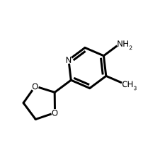 Cc1cc(C2OCCO2)ncc1N